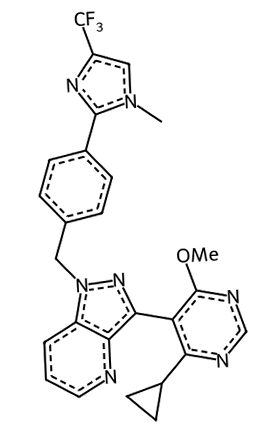 COc1ncnc(C2CC2)c1-c1nn(Cc2ccc(-c3nc(C(F)(F)F)cn3C)cc2)c2cccnc12